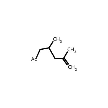 C=C(C)CC(C)CC(C)=O